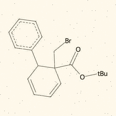 CC(C)(C)OC(=O)C1(CBr)C=CC=CC1c1ccccc1